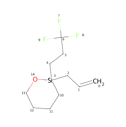 C=CC[Si]1(CCC(F)(F)F)CCCCO1